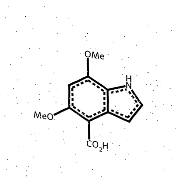 COc1cc(OC)c2[nH]ccc2c1C(=O)O